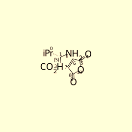 CC(C)[C@H](N)C(=O)O.O=C1C=CC(=O)O1